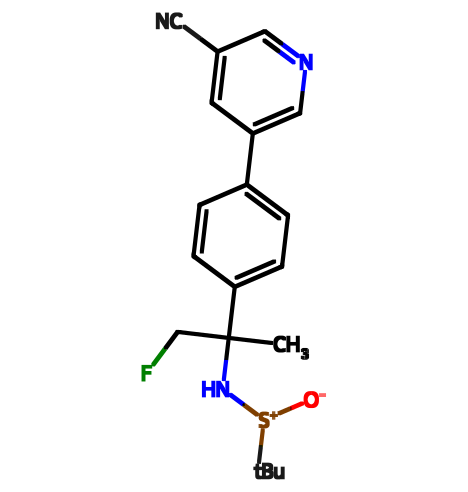 CC(CF)(N[S+]([O-])C(C)(C)C)c1ccc(-c2cncc(C#N)c2)cc1